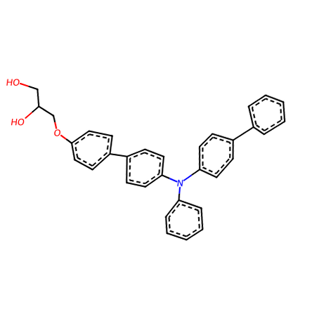 OCC(O)COc1ccc(-c2ccc(N(c3ccccc3)c3ccc(-c4ccccc4)cc3)cc2)cc1